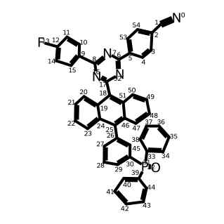 N#Cc1ccc(-c2nc(-c3ccc(F)cc3)nc(-c3c4ccccc4c(-c4cccc(P(=O)(c5ccccc5)c5ccccc5)c4)c4ccccc34)n2)cc1